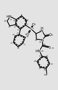 O=C1NC(S(=O)(=O)c2ccc3c(c2-c2ccccc2)CCN3)CN1C(=S)Nc1ccc(F)cc1